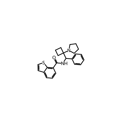 O=C(NC(c1ccccc1)C1(N2CCCC2)CCC1)c1cccc2ccsc12